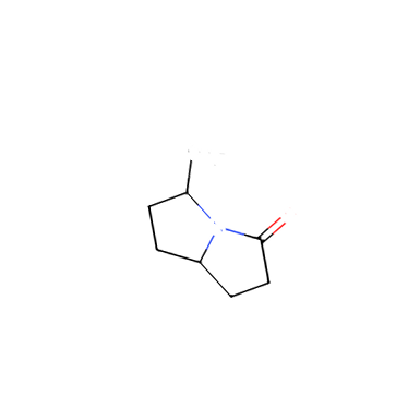 CCOC(=O)C1CCC2CCC(=O)N21